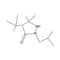 CC(C)CN1NC(C)(C)C(C(C)(C)C)C1=O